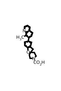 Cc1c(-c2ccc3c(c2)CC2(CCN(C(=O)O)CC2)O3)ccc2cccnc12